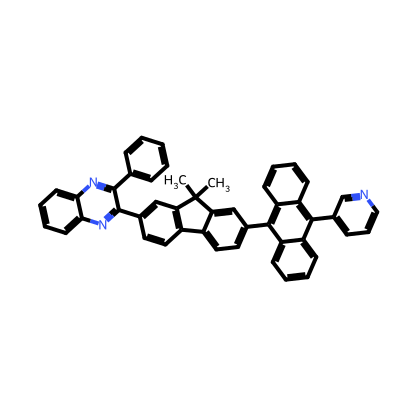 CC1(C)c2cc(-c3nc4ccccc4nc3-c3ccccc3)ccc2-c2ccc(-c3c4ccccc4c(-c4cccnc4)c4ccccc34)cc21